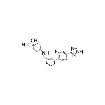 CC1(C)CCC(NCc2cccc(-c3ccc(-c4nc[nH]n4)cc3F)c2)CC1